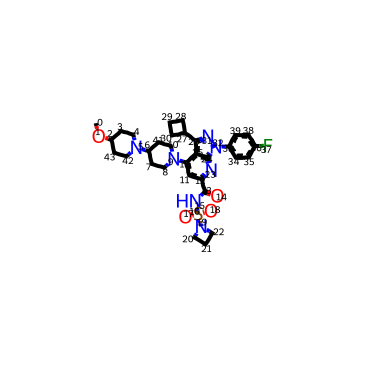 COC1CCN(C2CCN(c3cc(C(=O)NS(=O)(=O)N4CCC4)nc4c3c(C3CCC3)nn4-c3ccc(F)cc3)CC2)CC1